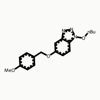 CCCCOn1nnc2cc(OCc3ccc(OC)cc3)ccc21